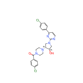 O=C(c1ccc(Cl)cc1)N1CCN([C@@H]2CN(c3nccc(-c4ccc(Cl)cc4)n3)C[C@H]2O)CC1